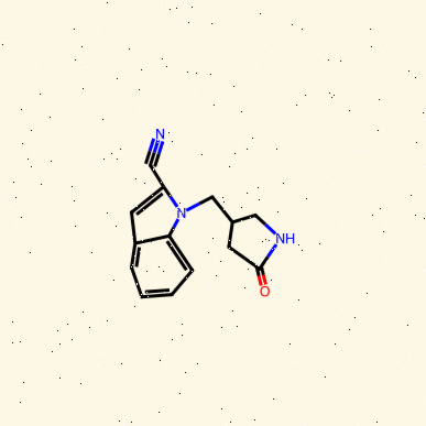 N#Cc1cc2ccccc2n1CC1CNC(=O)C1